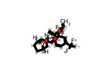 C=CCc1cc(C(F)(F)F)ccc1O[C@H]1C[C@H]2CC[C@@H](C1)N2c1ccc(C(F)(F)F)cn1